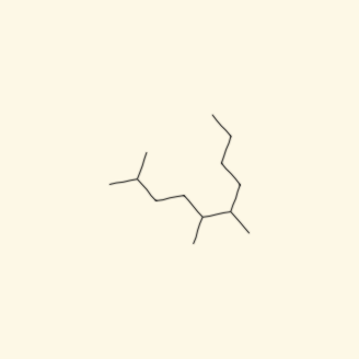 CCCCC(C)C(C)CCC(C)C